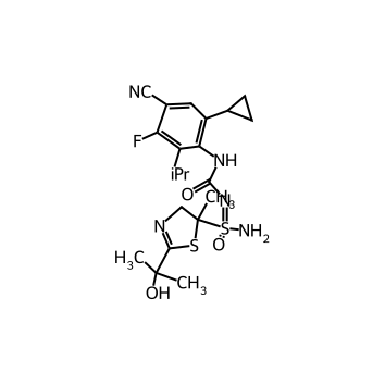 CC(C)c1c(F)c(C#N)cc(C2CC2)c1NC(=O)N=S(N)(=O)C1(C)CN=C(C(C)(C)O)S1